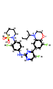 CCC(C)N1CCOc2c(F)cc(-c3nc(Nc4ccc(N5CCCCS5(=O)=O)c(F)c4)ncc3F)cc21